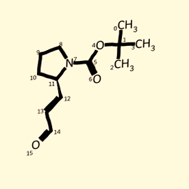 CC(C)(C)OC(=O)N1CCC[C@@H]1C=CC=O